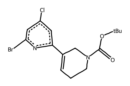 CC(C)(C)OC(=O)N1CCC=C(c2cc(Cl)cc(Br)n2)C1